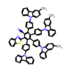 Cc1ccc2c(c1)c1ccccc1n2-c1ccc(-c2c(C#N)c(-c3nc4ccccc4s3)c(-c3ccc(-n4c5ccccc5c5ccccc54)cc3)c(-c3ccc(-n4c5ccccc5c5cc(C)ccc54)cc3)c2-c2ccc(-n3c4ccccc4c4cc(C)ccc43)cc2)cc1